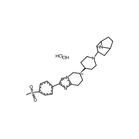 CS(=O)(=O)c1ccc(-c2cn3c(n2)CC[C@H](C2CCN(C4CC5CCC(C4)N5)CC2)C3)cc1.Cl.Cl